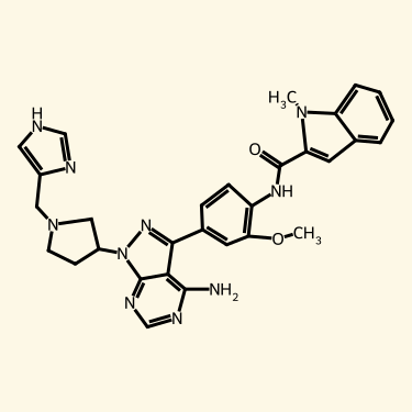 COc1cc(-c2nn(C3CCN(Cc4c[nH]cn4)C3)c3ncnc(N)c23)ccc1NC(=O)c1cc2ccccc2n1C